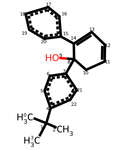 CC(C)(C)c1ccc(C2(O)CC=CC=C2c2ccccc2)cc1